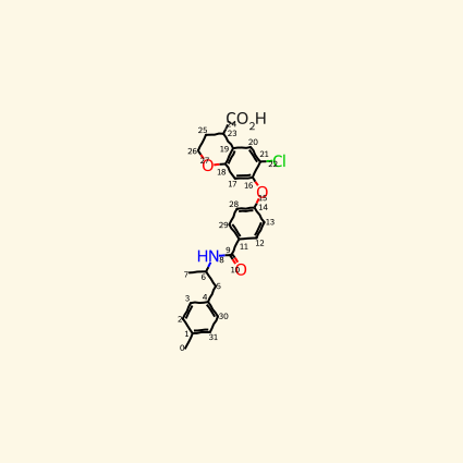 Cc1ccc(CC(C)NC(=O)c2ccc(Oc3cc4c(cc3Cl)C(C(=O)O)CCO4)cc2)cc1